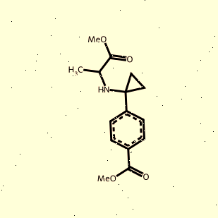 COC(=O)c1ccc(C2(NC(C)C(=O)OC)CC2)cc1